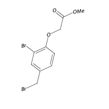 COC(=O)COc1ccc(CBr)cc1Br